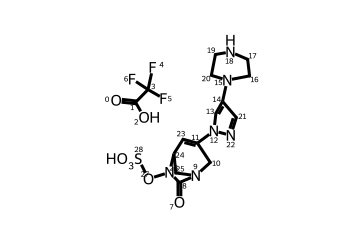 O=C(O)C(F)(F)F.O=C1N2CC(n3cc(N4CCNCC4)cn3)=CC(C2)N1OS(=O)(=O)O